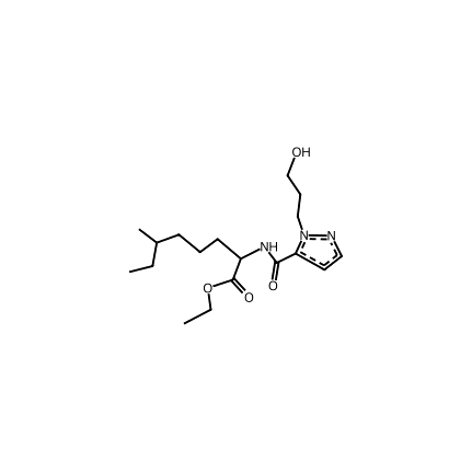 CCOC(=O)C(CCCC(C)CC)NC(=O)c1ccnn1CCCO